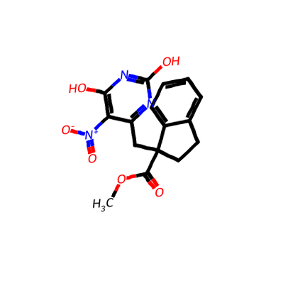 COC(=O)C1(Cc2nc(O)nc(O)c2[N+](=O)[O-])CCc2ccccc21